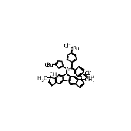 CC(C)(C)C1=CC[C]([Zr+2](=[C](c2ccc(C(C)(C)C)cc2)c2ccc(C(C)(C)C)cc2)[CH]2c3cc4c(cc3-c3cc5c(cc32)C(C)(C)C=C5)C=CC4(C)C)=C1.[Cl-].[Cl-]